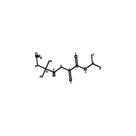 CC(C)OC(=O)C(=O)CNC(C)(C)CN